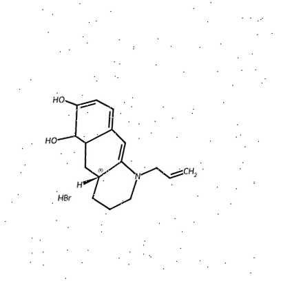 Br.C=CCN1CCC[C@@H]2CC3C(=CC=C(O)C3O)C=C21